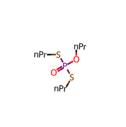 CCCOP(=O)(SCCC)SCCC